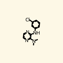 CN(C)c1nccnc1Nc1cccc(Cl)c1